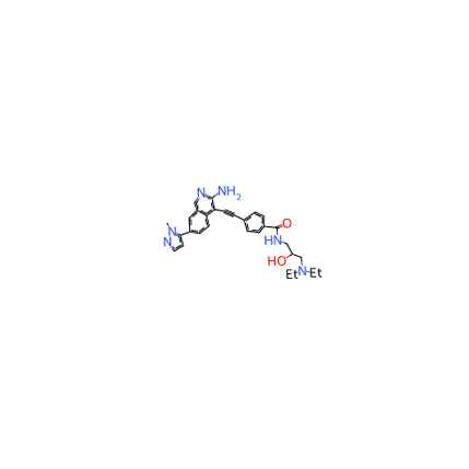 CCN(CC)CC(O)CNC(=O)c1ccc(C#Cc2c(N)ncc3cc(-c4ccnn4C)ccc23)cc1